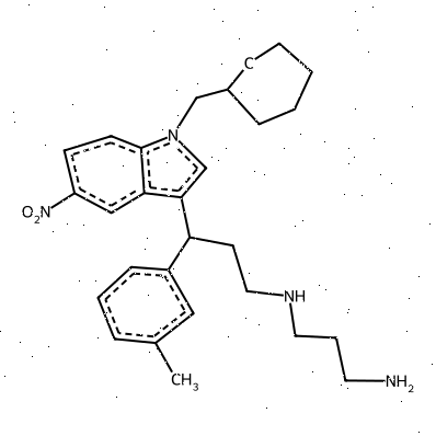 Cc1cccc(C(CCNCCCN)c2cn(CC3CCCCC3)c3ccc([N+](=O)[O-])cc23)c1